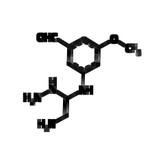 N/C=C(\NN)Nc1cc(C=O)cc(OC(F)(F)F)c1